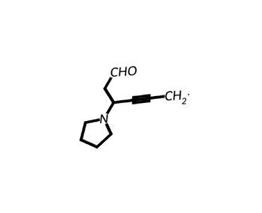 [CH2]C#CC(CC=O)N1CCCC1